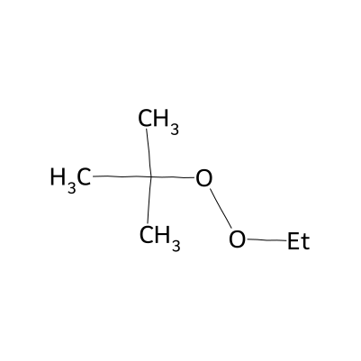 CCOOC(C)(C)C